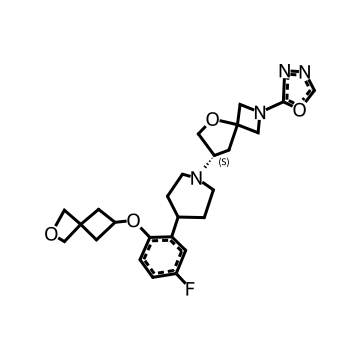 Fc1ccc(OC2CC3(COC3)C2)c(C2CCN([C@@H]3COC4(C3)CN(c3nnco3)C4)CC2)c1